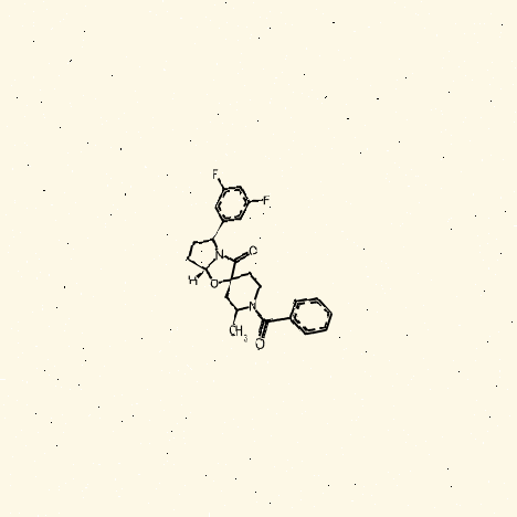 CC1C[C@@]2(CCN1C(=O)c1ccccc1)O[C@@H]1CC[C@@H](c3cc(F)cc(F)c3)N1C2=O